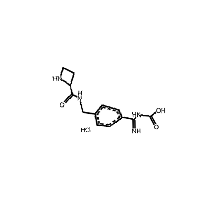 Cl.N=C(NC(=O)O)c1ccc(CNC(=O)[C@@H]2CCN2)cc1